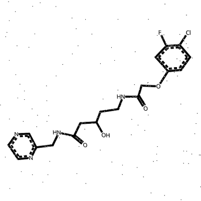 O=C(COc1ccc(Cl)c(F)c1)NCCC(O)CC(=O)NCc1cnccn1